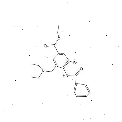 CCOC(=O)c1cc(Br)c(NC(=O)c2ccccc2)c(CN(CC)CC)c1